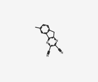 Cc1ccc2c(c1)-c1nc(C#N)c(C#N)nc1C2